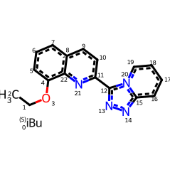 CC[C@H](C)C(C)Oc1cccc2ccc(-c3nnc4ccccn34)nc12